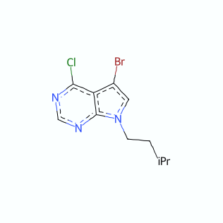 CC(C)CCn1cc(Br)c2c(Cl)ncnc21